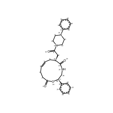 O=C1CCC=CC[C@@H](CC(=O)N2CCN(c3ccccc3)CC2)C(=O)NC[C@@H](c2ccccc2)O1